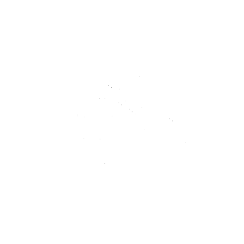 Cc1nc(C(F)(F)F)ccc1Cn1c(=O)c(-c2ccc(Cl)cc2)c(-c2ccc(Cl)cc2)c2nnc([C@H](C)O)n21